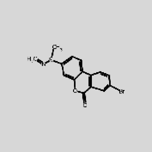 C=NN(C)c1ccc2c(c1)oc(=O)c1cc(Br)ccc12